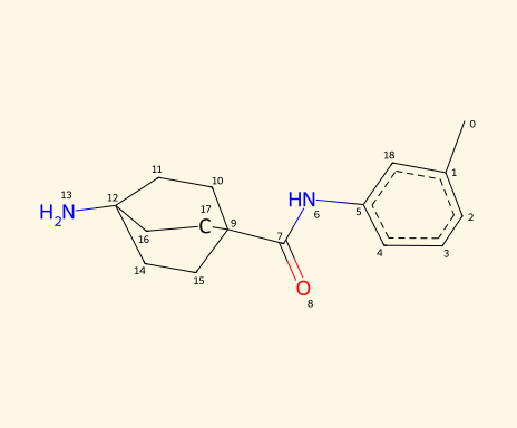 Cc1cccc(NC(=O)C23CCC(N)(CC2)CC3)c1